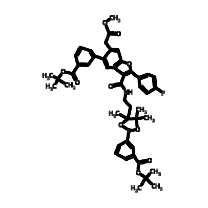 COC(=O)Cc1cc2oc(-c3ccc(F)cc3)c(C(=O)NCCC3(C)OB(c4cccc(C(=O)OC(C)(C)C)c4)OC3(C)C)c2cc1-c1cccc(C(=O)OC(C)(C)C)c1